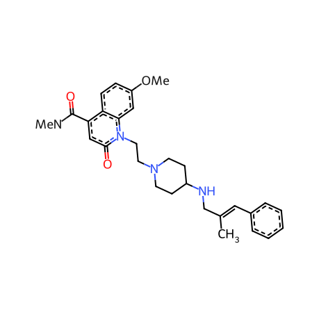 CNC(=O)c1cc(=O)n(CCN2CCC(NCC(C)=Cc3ccccc3)CC2)c2cc(OC)ccc12